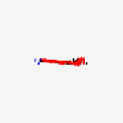 CCCC1O[C@@H]2C[C@H]3[C@@H]4CCC5=CC(=O)C=C[C@]5(C)[C@H]4[C@@H](O)C[C@]3(C)[C@]2(C(=O)COP(=O)(O)OP(=O)(O)OCCOCCOCCOCCOCCOCCOCCOCCOCCOCCOCCOCCOCCOCCOCCOCCOCCOCCOCCOCCOCCOCCOCCOCCN)O1